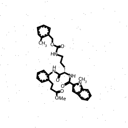 COC(=O)CCc1ccccc1NC(=O)[C@H](CCCNC(=O)OCc1ccccc1C)NC(=O)c1cc2ccccc2n1C